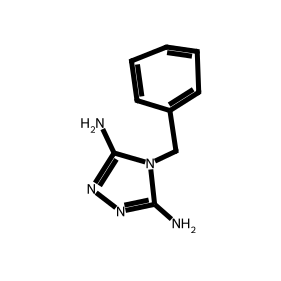 Nc1nnc(N)n1Cc1ccccc1